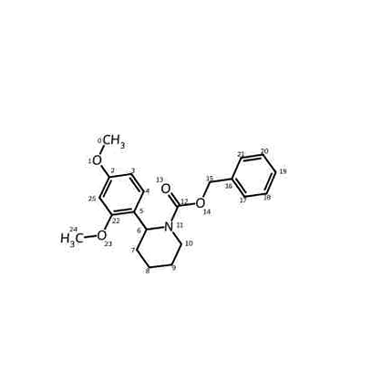 COc1ccc(C2CCCCN2C(=O)OCc2ccccc2)c(OC)c1